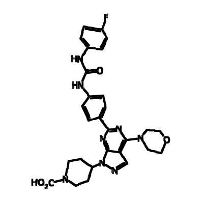 O=C(Nc1ccc(F)cc1)Nc1ccc(-c2nc(N3CCOCC3)c3cnn(C4CCN(C(=O)O)CC4)c3n2)cc1